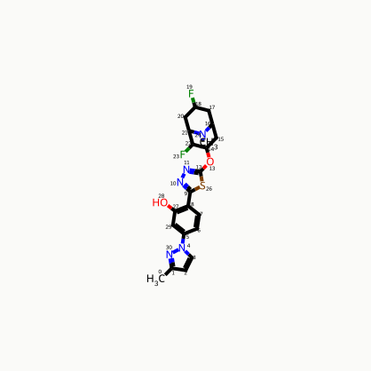 Cc1ccn(-c2ccc(-c3nnc(OC4CC5CC(F)CC(C4F)N5C)s3)c(O)c2)n1